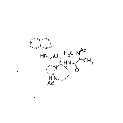 CC(=O)N(C)[C@@H](C)C(=O)NC1CCCN(C(C)=O)[C@H]2CC[C@H](C(=O)Nc3cccc4ccccc34)N2C1=O